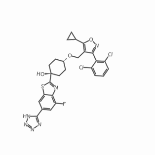 O[C@]1(c2nc3c(F)cc(-c4nnn[nH]4)cc3s2)CC[C@@H](OCc2c(-c3c(Cl)cccc3Cl)noc2C2CC2)CC1